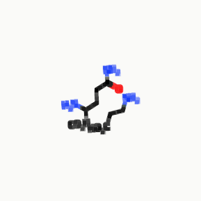 NC(=O)CCC(N)C(=O)O.NCCC(=O)O